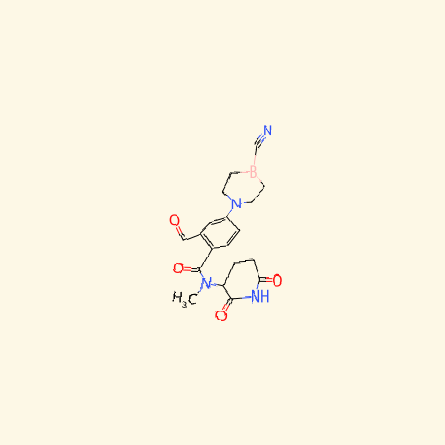 CN(C(=O)c1ccc(N2CCB(C#N)CC2)cc1C=O)C1CCC(=O)NC1=O